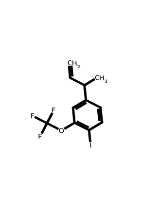 C=C[C](C)c1ccc(I)c(OC(F)(F)F)c1